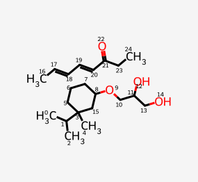 CC(C)C1(C)CCCC(OCC(O)CO)C1.CC=CC=CC(=O)CC